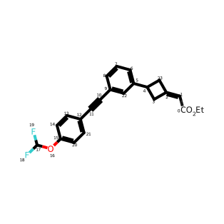 CCOC(=O)C=C1CC(c2cccc(C#Cc3ccc(OC(F)F)cc3)c2)C1